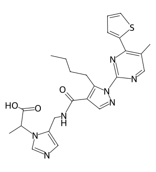 CCCCc1c(C(=O)NCc2cncn2C(C)C(=O)O)cnn1-c1ncc(C)c(-c2cccs2)n1